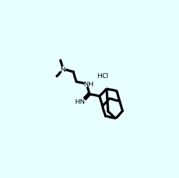 CN(C)CCNC(=N)C1C2CC3CC(C2)CC1C3.Cl